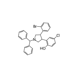 Oc1ccc(Cl)cc1C1CN(C(c2ccccc2)c2ccccc2)CC1c1ccccc1Br